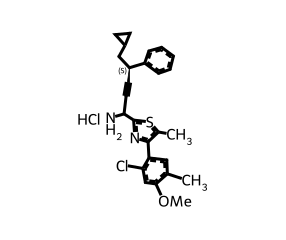 COc1cc(Cl)c(-c2nc(C(N)C#C[C@@H](CC3CC3)c3ccccc3)sc2C)cc1C.Cl